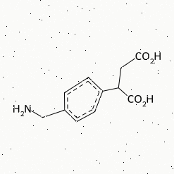 NCc1ccc(C(CC(=O)O)C(=O)O)cc1